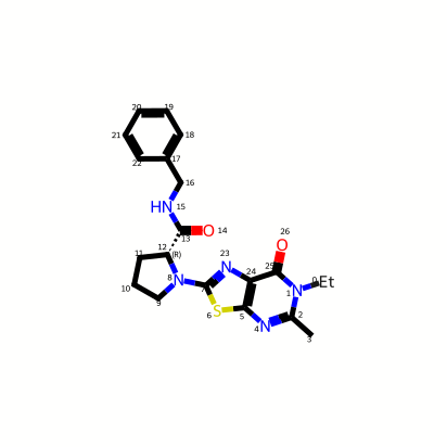 CCn1c(C)nc2sc(N3CCC[C@@H]3C(=O)NCc3ccccc3)nc2c1=O